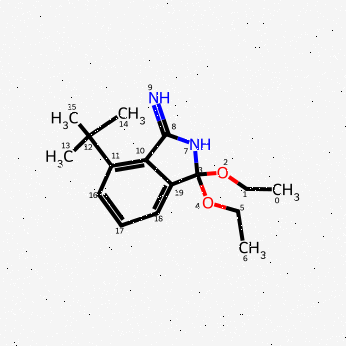 CCOC1(OCC)NC(=N)c2c(C(C)(C)C)cccc21